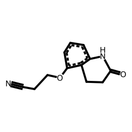 N#CCCOc1cccc2c1CCC(=O)N2